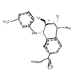 CC[C@H]1[C@H](C)[C@@H](Nc2cccc(C)n2)c2cc(C(=O)NC)ccc2N1C(C)=O